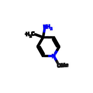 [CH2]C1(N)C=CN(OC)C=C1